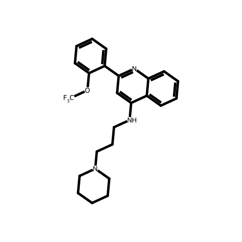 FC(F)(F)Oc1ccccc1-c1cc(NCCCN2CCCCC2)c2ccccc2n1